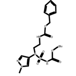 Cn1cc(N(CCNC(=O)OCc2ccccc2)S(=O)(=O)NC(=O)OC(C)(C)C)cn1